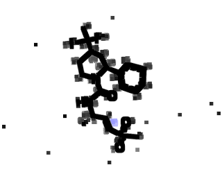 C[C@@H](/C=C/S(C)(=O)=O)NC(=O)N1CC[C@@H](C(C)(F)F)C[C@H]1c1ccccc1